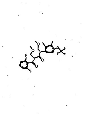 COCN(C(=O)c1c(F)cccc1F)C(=O)N(COC)c1ccc(SC(F)(F)F)c(C)c1C